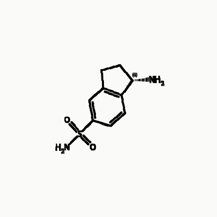 N[C@H]1CCc2cc(S(N)(=O)=O)ccc21